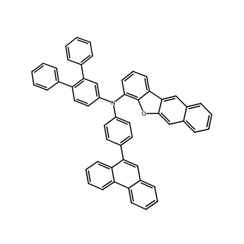 c1ccc(-c2ccc(N(c3ccc(-c4cc5ccccc5c5ccccc45)cc3)c3cccc4c3oc3cc5ccccc5cc34)cc2-c2ccccc2)cc1